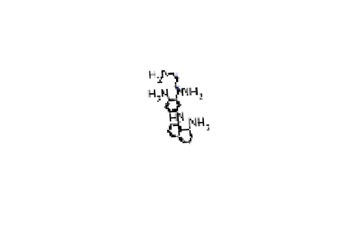 N/C=C\C=C(/N)c1cc(Nc2cccc3cccc(N)c23)ccc1N